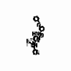 O=C(Nc1ccc(-n2nc(-c3cccnc3)cc2C(F)(F)F)nn1)c1cccc(OCc2ccccc2)c1